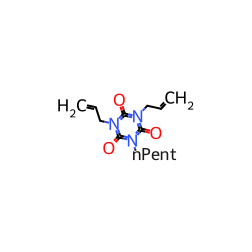 C=CCn1c(=O)n(CC=C)c(=O)n(CCCCC)c1=O